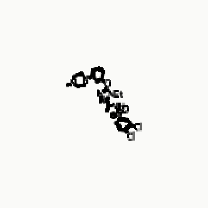 CCn1c(Oc2cccc(N3CCN(C)CC3)c2)nnc1C(C)NS(=O)(=O)c1ccc(Cl)c(Cl)c1